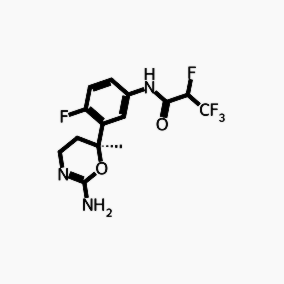 C[C@@]1(c2cc(NC(=O)C(F)C(F)(F)F)ccc2F)CCN=C(N)O1